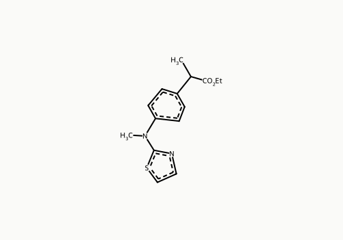 CCOC(=O)C(C)c1ccc(N(C)c2nccs2)cc1